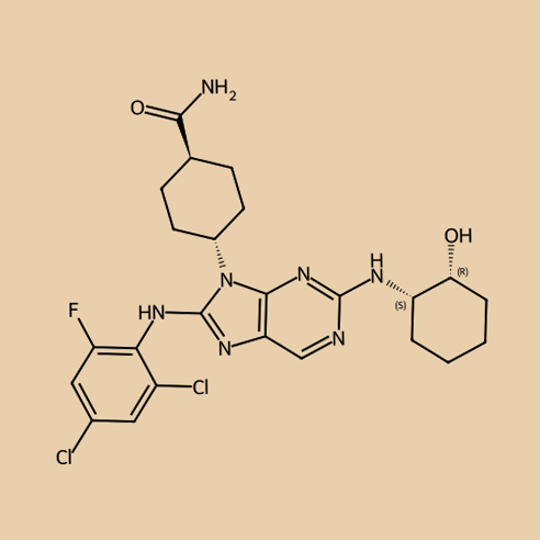 NC(=O)[C@H]1CC[C@H](n2c(Nc3c(F)cc(Cl)cc3Cl)nc3cnc(N[C@H]4CCCC[C@H]4O)nc32)CC1